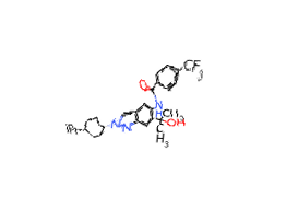 CC(C)[C@H]1CC[C@H](n2cc3cc(NC(=O)c4ccc(C(F)(F)F)cc4)c(C(C)(C)O)cc3n2)CC1